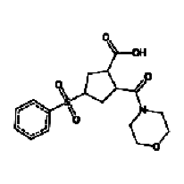 O=C(O)C1CC(S(=O)(=O)c2ccccc2)CC1C(=O)N1CCOCC1